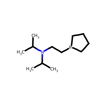 CC(C)N(C[CH2][In]1[CH2]CC[CH2]1)C(C)C